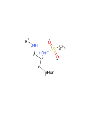 CCCCCCCCCCCCNCC.NS(=O)(=O)C(F)(F)F